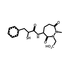 CN1C(=O)CCC(NC(=O)C(S)Cc2ccccc2)C(=O)N1CC(=O)O